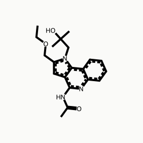 CCOCc1cc2c(NC(C)=O)nc3ccccc3c2n1CC(C)(C)O